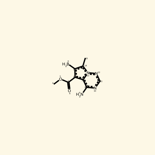 Bc1c(C(=O)OC)c2c(N)ncnn2c1C